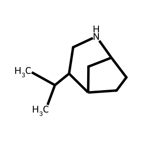 CC(C)C1CNC2CCC1C2